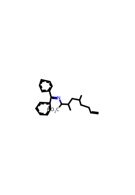 C=CCCC(C)CC(C)C(N=C(c1ccccc1)c1ccccc1)C(=O)O